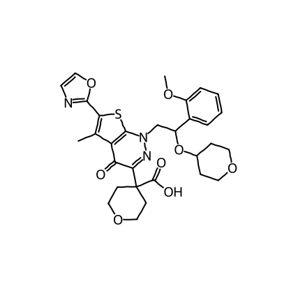 COc1ccccc1C(Cn1nc(C2(C(=O)O)CCOCC2)c(=O)c2c(C)c(-c3ncco3)sc21)OC1CCOCC1